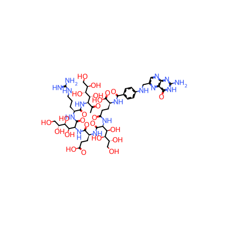 CC(=O)[C@@H](NC(=O)[C@H](CCCNC(=N)N)NC(=O)[C@@H](NC(=O)[C@H](CCC(=O)O)NC(=O)[C@@H](NC(=O)CC[C@H](NC(=O)c1ccc(NCc2cnc3nc(N)[nH]c(=O)c3n2)cc1)C(=O)O)[C@@H](O)[C@H](O)[C@H](O)CO)[C@@H](O)[C@H](O)[C@H](O)CO)[C@@H](O)[C@H](O)[C@H](O)CO